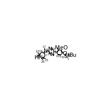 COc1cc(O[Si](C)(C)C(C)(C)C)ccc1-c1cnc(N(C)C2CC(C)(C)NC(C)(C)C2)cn1